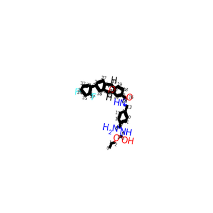 CCCOC(O)NC(N)c1ccc(CNC(=O)c2ccc3c(c2)[C@@H]2O[C@H]3c3ccc(-c4ccc(F)cc4F)cc32)cc1